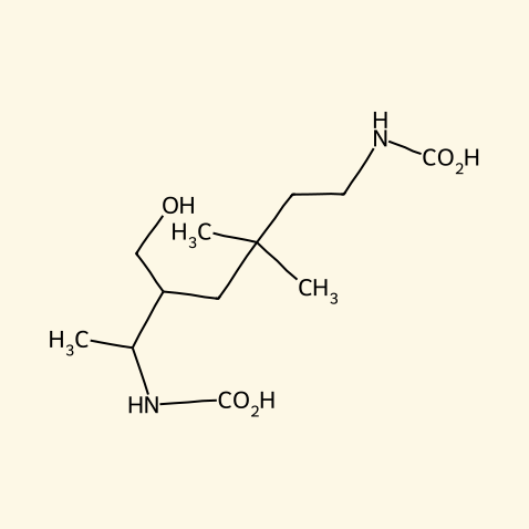 CC(NC(=O)O)C(CO)CC(C)(C)CCNC(=O)O